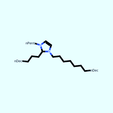 CCCCCCCCCCCCCCCCCN1C=CN(CCCCC)C1CCCCCCCCCCCCC